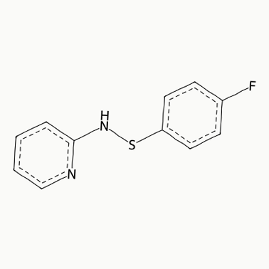 Fc1ccc(SNc2ccccn2)cc1